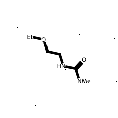 CCOCCNC(=O)NC